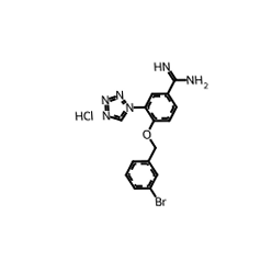 Cl.N=C(N)c1ccc(OCc2cccc(Br)c2)c(-n2cnnn2)c1